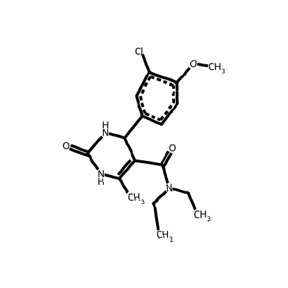 CCN(CC)C(=O)C1=C(C)NC(=O)NC1c1ccc(OC)c(Cl)c1